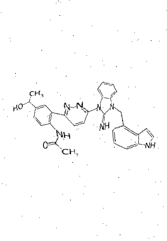 CC(=O)Nc1ccc(C(C)O)cc1-c1ccc(-n2c(=N)n(Cc3cccc4[nH]ccc34)c3ccccc32)nn1